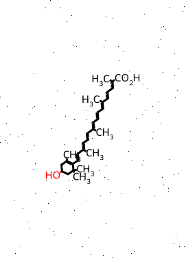 CC1=C(/C=C/C(C)=C/C=C/C(C)=C/C=C/C=C(C)/C=C/C=C(\C)C(=O)O)C(C)(C)CC(O)C1